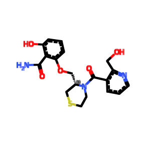 NC(=O)c1c(O)cccc1OC[C@H]1CSCCN1C(=O)c1cccnc1CO